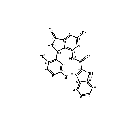 O=C(Nc1cc(Br)cc2c1C(c1cc(F)ccc1Cl)NC2=O)c1nc2ccccc2[nH]1